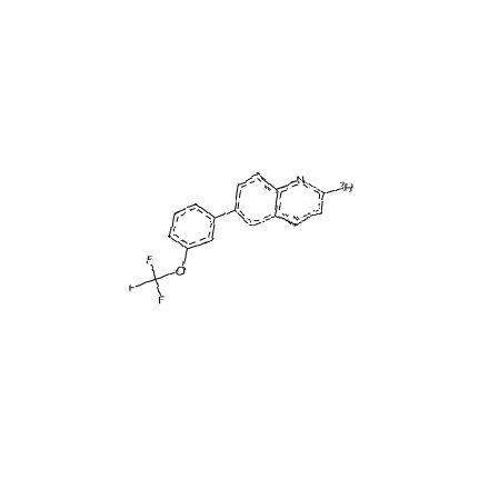 [2H]c1ccc2cc(-c3cccc(OC(F)(F)F)c3)ccc2n1